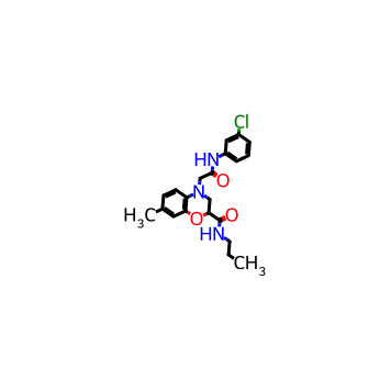 CCCNC(=O)C1CN(CC(=O)Nc2cccc(Cl)c2)c2ccc(C)cc2O1